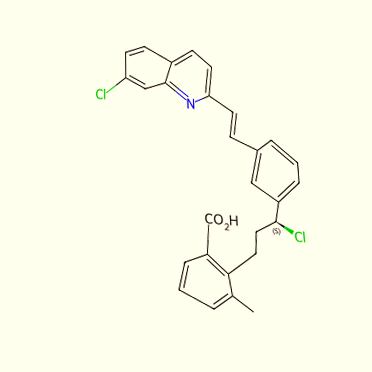 Cc1cccc(C(=O)O)c1CC[C@H](Cl)c1cccc(C=Cc2ccc3ccc(Cl)cc3n2)c1